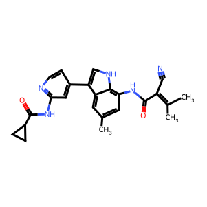 CC(C)=C(C#N)C(=O)Nc1cc(C)cc2c(-c3ccnc(NC(=O)C4CC4)c3)c[nH]c12